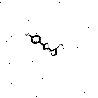 N#Cc1ccc(C2=C[C@@H]([C@H]3CCC3C#N)C2)cc1